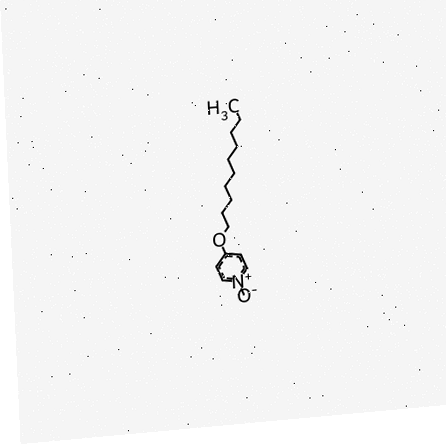 CCCCCCCCCCOc1cc[n+]([O-])cc1